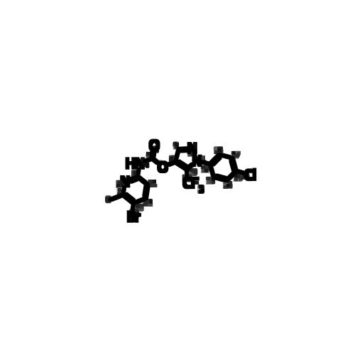 Cc1nc(NC(=O)Oc2cnn(-c3ccc(Cl)cc3)c2C(F)(F)F)ccc1Br